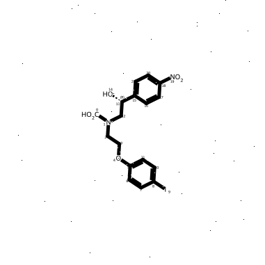 O=C(O)N(CCOc1ccc(I)cc1)C[C@H](O)c1ccc([N+](=O)[O-])cc1